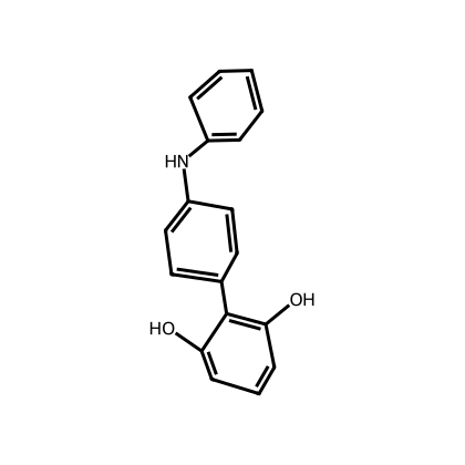 Oc1cccc(O)c1-c1ccc(Nc2ccccc2)cc1